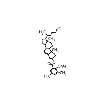 COc1c(C)cc(C)cc1C(=O)OC1CCC2(C)C(=CCC3C2CCC2(C)C(C(C)CCCC(C)C)CCC32)C1